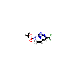 CN(C(=O)OC(C)(C)C)[C@H]1C/C1=C/c1cc(C(F)F)nc2ncnn12